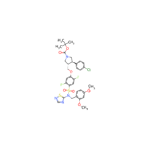 COc1ccc(CN(c2ncns2)S(=O)(=O)c2cc(F)c(OC[C@@H]3CN(C(=O)OC(C)(C)C)C[C@H]3c3ccc(Cl)cc3)cc2F)c(OC)c1